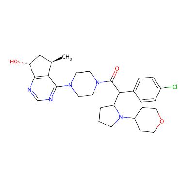 C[C@@H]1C[C@@H](O)c2ncnc(N3CCN(C(=O)C(c4ccc(Cl)cc4)C4CCCN4C4CCOCC4)CC3)c21